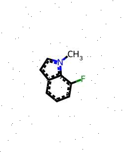 Cn1ccc2cccc(F)c21